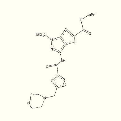 CCCOC(=O)c1cc2c(o1)c(NC(=O)c1ccc(CN3CCOCC3)o1)nn2C(=O)OCC